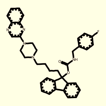 O=C(NCc1ccc(F)cc1)OC1(CCCCN2CCN(c3cnc4ccccc4n3)CC2)c2ccccc2-c2ccccc21